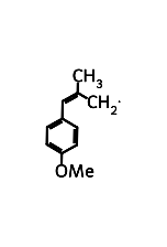 [CH2]/C(C)=C\c1ccc(OC)cc1